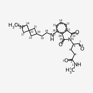 CNC(=O)CCC(C=O)N1C(=O)c2cccc(NCCC3CC4(C3)CN(C)C4)c2C1=O